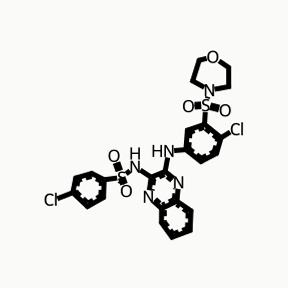 O=S(=O)(Nc1nc2ccccc2nc1Nc1ccc(Cl)c(S(=O)(=O)N2CCOCC2)c1)c1ccc(Cl)cc1